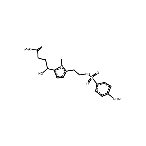 COC(=O)CCC(O)c1ccc(CCNS(=O)(=O)c2ccc(NC(C)=O)cc2)n1C